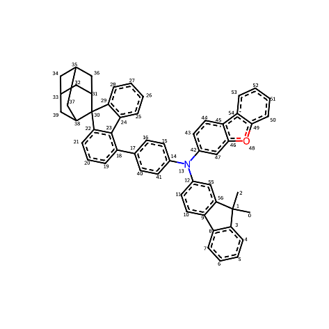 CC1(C)c2ccccc2-c2ccc(N(c3ccc(-c4cccc5c4-c4ccccc4C54C5CC6CC(C5)CC4C6)cc3)c3ccc4c(c3)oc3ccccc34)cc21